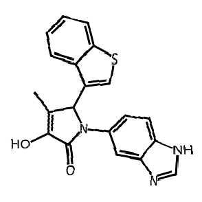 CC1=C(O)C(=O)N(c2ccc3[nH]cnc3c2)C1c1csc2ccccc12